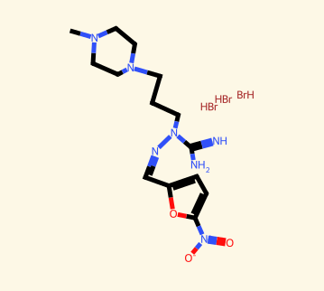 Br.Br.Br.CN1CCN(CCCN(/N=C\c2ccc([N+](=O)[O-])o2)C(=N)N)CC1